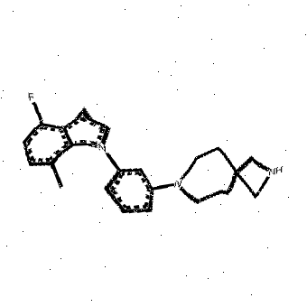 Cc1ccc(F)c2ccn(-c3cccc(N4CCC5(CC4)CNC5)c3)c12